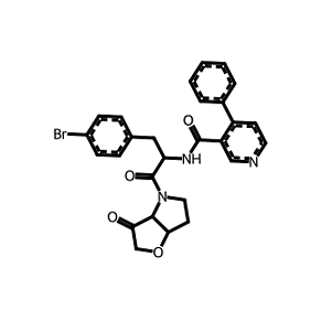 O=C(NC(Cc1ccc(Br)cc1)C(=O)N1CCC2OCC(=O)C21)c1cnccc1-c1ccccc1